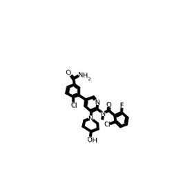 CN(C(=O)c1c(F)cccc1Cl)c1ncc(-c2cc(C(N)=O)ccc2Cl)cc1N1CCC(O)CC1